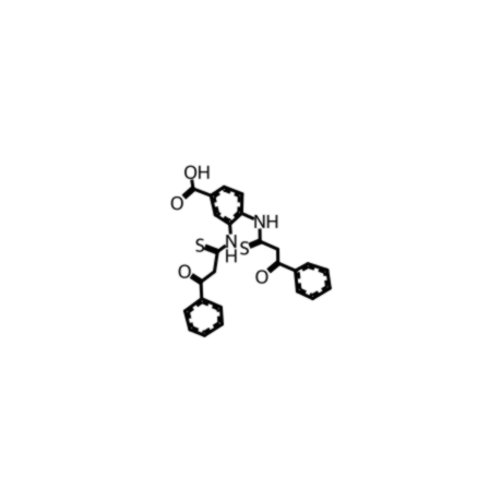 O=C(O)c1ccc(NC(=S)CC(=O)c2ccccc2)c(NC(=S)CC(=O)c2ccccc2)c1